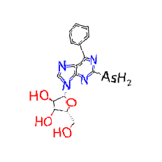 OC[C@H]1O[C@@H](n2cnc3c(-c4ccccc4)nc([AsH2])nc32)[C@H](O)[C@@H]1O